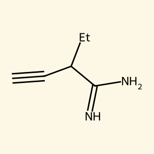 C#CC(CC)C(=N)N